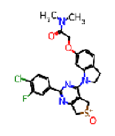 CN(C)C(=O)COc1ccc2c(c1)N(c1nc(-c3ccc(Cl)c(F)c3)nc3c1C[S+]([O-])C3)CC2